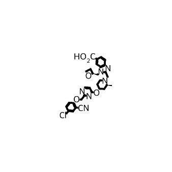 C[C@H]1C[C@@H](Oc2ccnc(COc3ccc(Cl)cc3C#N)n2)CCN1Cc1nc2ccc(C(=O)O)cc2n1C[C@@H]1CCO1